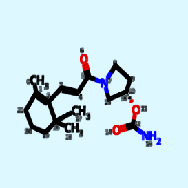 CC1=C(C=CC(=O)N2CC[C@H](OC(N)=O)C2)C(C)(C)CCC1